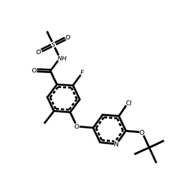 Cc1cc(C(=O)NS(C)(=O)=O)c(F)cc1Oc1cnc(OC(C)(C)C)c(Cl)c1